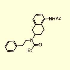 CCC(=O)N(CCc1ccccc1)C1CCc2c(cccc2NC(C)=O)C1